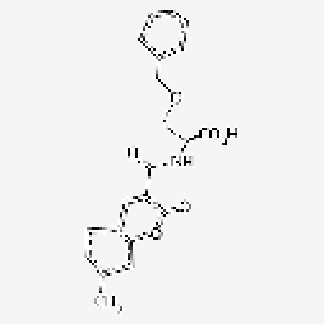 Cc1ccc2cc(C(=O)N[C@@H](COCc3ccccc3)C(=O)O)c(=O)oc2c1